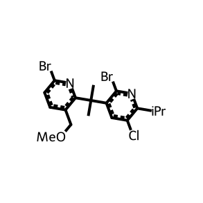 COCc1ccc(Br)nc1C(C)(C)c1cc(Cl)c(C(C)C)nc1Br